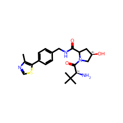 Cc1ncsc1-c1ccc(CNC(=O)C2C[C@@H](O)CN2C(=O)[C@@H](N)C(C)(C)C)cc1